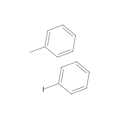 Cc1ccccc1.Ic1ccccc1